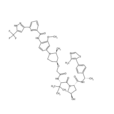 COc1cc(N2CC[C@H](OCC(=O)N[C@H](C(=O)N3C[C@H](O)C[C@H]3C(=O)N[C@@H](C)c3ccc(-c4scnc4C)cc3)C(C)(C)C)C[C@@H]2C)ccc1NC(=O)c1cccc(-c2cc(C(F)(F)F)[nH]n2)n1